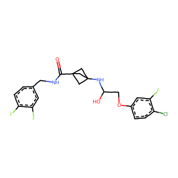 O=C(NCc1ccc(F)c(F)c1)C12CC(NC(O)COc3ccc(Cl)c(F)c3)(C1)C2